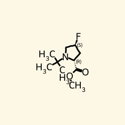 COC(=O)[C@H]1C[C@H](F)CN1C(C)(C)C